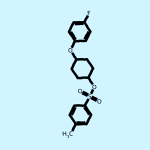 Cc1ccc(S(=O)(=O)OC2CCC(Oc3ccc(F)cc3)CC2)cc1